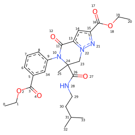 CCOC(=O)c1cccc(N2C(=O)c3cc(C(=O)OCC)nn3CC2(C)C(=O)NCCC(C)C)c1